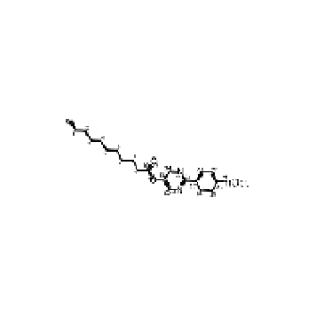 C=CCCCCCCCCC(=O)Oc1cnc(-c2ccc(CCCCCCCC)cc2)nc1